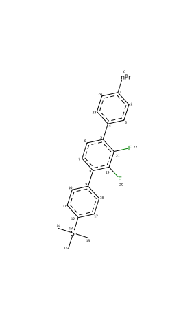 CCCc1ccc(-c2ccc(-c3ccc([Si](C)(C)C)cc3)c(F)c2F)cc1